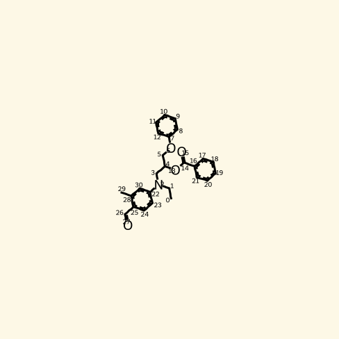 CCN(CC(COc1ccccc1)OC(=O)c1ccccc1)c1ccc(C=O)c(C)c1